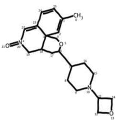 CC1=CC23COC(C4CCN(C5COC5)CC4)CC2C[N+](=O)C=C3C=C1